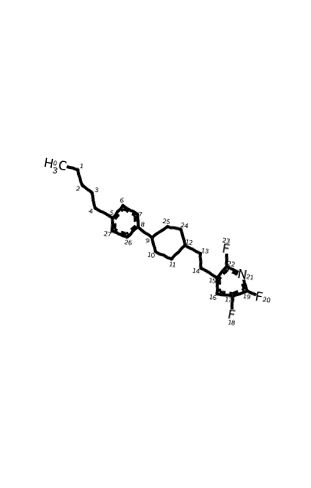 CCCCCc1ccc(C2CCC(CCc3cc(F)c(F)nc3F)CC2)cc1